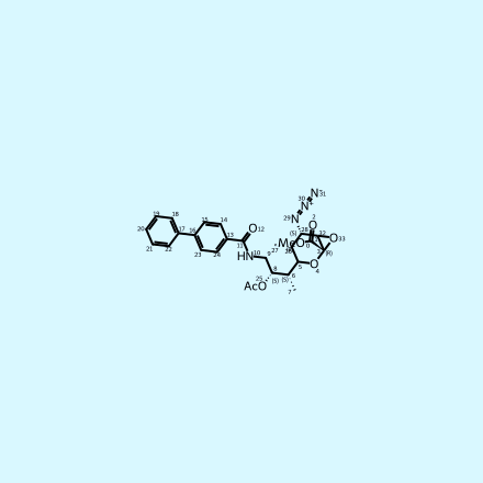 COC(=O)[C@@]12OC([C@H](C)[C@@H](CNC(=O)c3ccc(-c4ccccc4)cc3)OC(C)=O)[C@H](C)[C@H](N=[N+]=[N-])C1O2